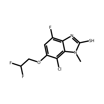 Cn1c(S)nc2c(F)cc(OCC(F)F)c(Cl)c21